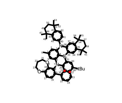 Cc1cc2c3c(c1)N(c1c(-c4ccccc4)ccc4c1OCCCO4)c1ccc(C(C)(C)C)cc1B3c1cc3c(cc1N2c1ccc2c(c1)C(C)(C)CCC2(C)C)C(C)(C)CCC3(C)C